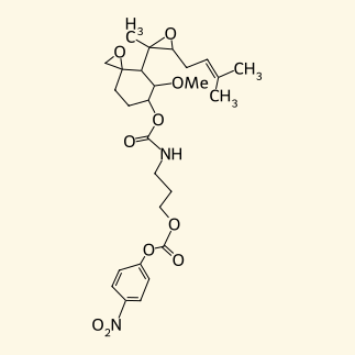 COC1C(OC(=O)NCCCOC(=O)Oc2ccc([N+](=O)[O-])cc2)CCC2(CO2)C1C1(C)OC1CC=C(C)C